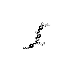 COc1ccc(CC[C@H](CNC(=O)[C@@H]2CCCN(C(=O)CCC3CCN(C(=O)OC(C)(C)C)CC3)C2)C(=O)O)cc1